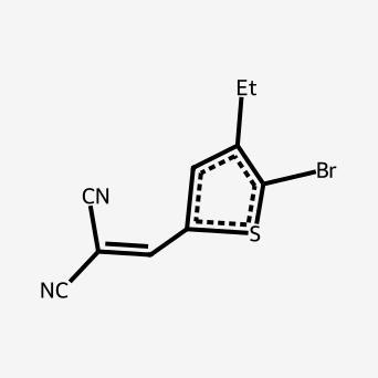 CCc1cc(C=C(C#N)C#N)sc1Br